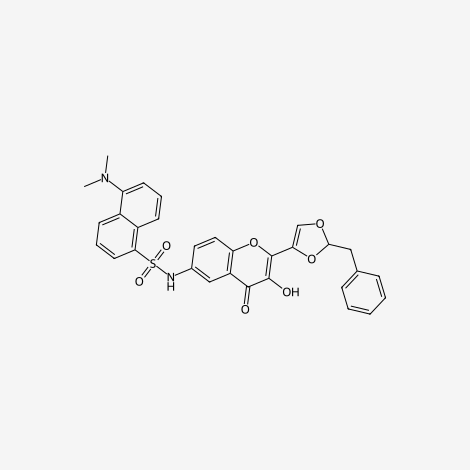 CN(C)c1cccc2c(S(=O)(=O)Nc3ccc4oc(C5=COC(Cc6ccccc6)O5)c(O)c(=O)c4c3)cccc12